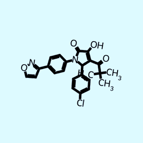 CC(C)(C)C(=O)C1=C(O)C(=O)N(c2ccc(-c3ccon3)cc2)C1c1ccc(Cl)cc1